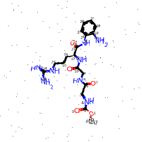 CC(C)(C)OC(=O)NCC(=O)NCC(=O)N[C@@H](CCCNC(=N)N)C(=O)Nc1ccccc1N